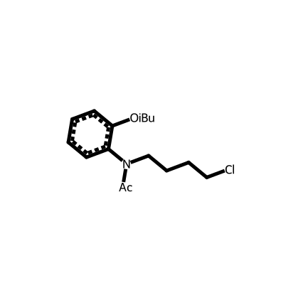 CC(=O)N(CCCCCl)c1ccccc1OCC(C)C